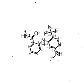 CNC(=O)c1ccccc1Nc1cc(NC)ncc1C(F)(F)F